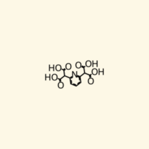 O=C(O)C(C(=O)O)c1cccc(C(C(=O)O)C(=O)O)n1